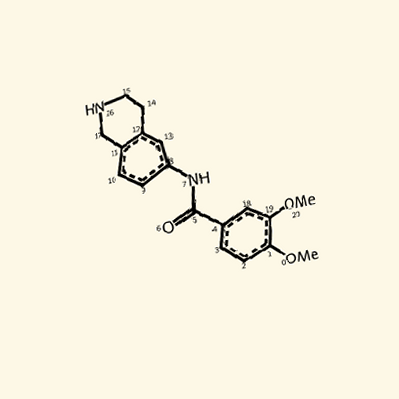 COc1ccc(C(=O)Nc2ccc3c(c2)CCNC3)cc1OC